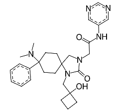 CN(C)C1(c2ccccc2)CCC2(CC1)CN(CC(=O)Nc1cncnc1)C(=O)N2CC1(O)CCC1